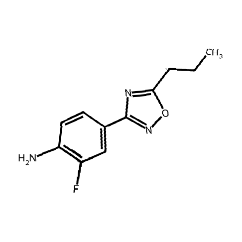 CC[CH]c1nc(-c2ccc(N)c(F)c2)no1